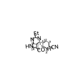 CCc1nc(-c2ccc(C#N)cc2)c2c(C(=O)O)c[nH]c2n1